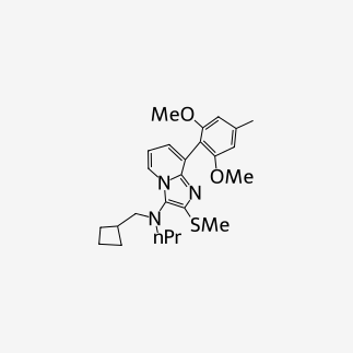 CCCN(CC1CCC1)c1c(SC)nc2c(-c3c(OC)cc(C)cc3OC)cccn12